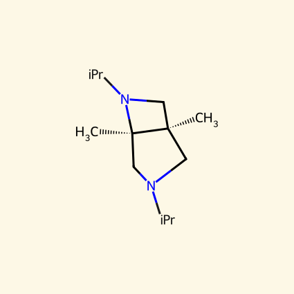 CC(C)N1C[C@]2(C)CN(C(C)C)[C@]2(C)C1